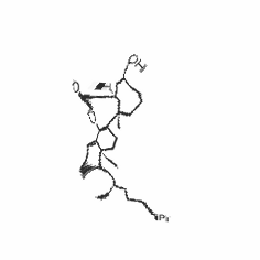 CC(C)CCC[C@@H](C)[C@H]1CC=C2C3=C(CC[C@@]21C)[C@@]1(C)CCC(O)C[C@@H]1C(=O)O3